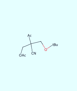 CC(=O)OCC(C#N)(COC(C)(C)C)C(C)=O